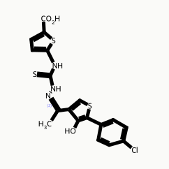 C/C(=N/NC(=S)Nc1ccc(C(=O)O)s1)c1csc(-c2ccc(Cl)cc2)c1O